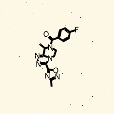 Cc1noc(-c2nnc3n2CCN(C(=O)c2ccc(F)cc2)C3C)n1